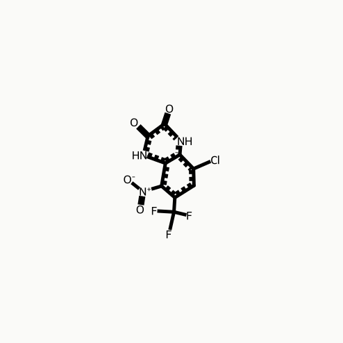 O=c1[nH]c2c(Cl)cc(C(F)(F)F)c([N+](=O)[O-])c2[nH]c1=O